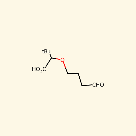 CC(C)(C)C(OCCCC=O)C(=O)O